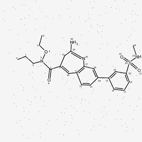 CCCN(OCC)C(=O)C1=Cc2ccc(-c3cccc(S(=O)(=O)NC)c3)cc2N=C(N)C1